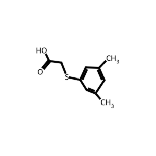 Cc1cc(C)cc(SCC(=O)O)c1